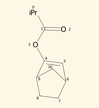 CC(C)C(=O)OC1=CC2CCC1C2